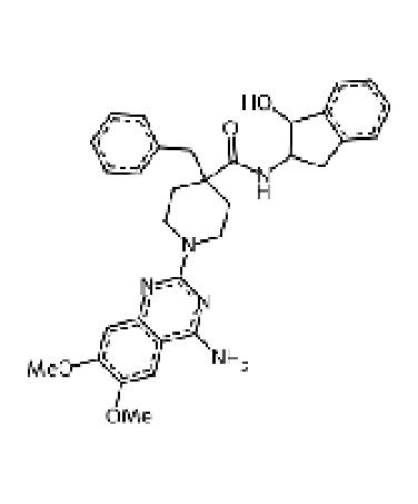 COc1cc2nc(N3CCC(Cc4ccccc4)(C(=O)NC4Cc5ccccc5C4O)CC3)nc(N)c2cc1OC